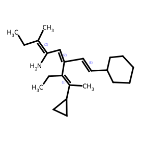 CC/C(C)=C(N)/C=C(/C=C/C1CCCCC1)C(\CC)=C(/C)C1CC1